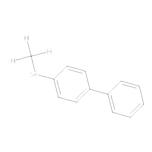 [2H]C([2H])([2H])[Se]c1ccc(-c2ccccc2)cc1